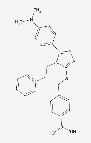 CN(C)c1ccc(-c2nnc(SCc3ccc(B(O)O)cc3)n2CCc2ccccc2)cc1